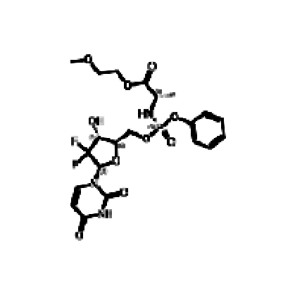 COCCOC(=O)[C@H](C)N[P@](=O)(OC[C@H]1O[C@@H](n2ccc(=O)[nH]c2=O)C(F)(F)[C@@H]1O)Oc1ccccc1